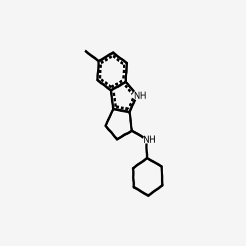 Cc1ccc2[nH]c3c(c2c1)CCC3NC1CCCCC1